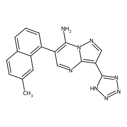 Cc1ccc2cccc(-c3cnc4c(-c5nnn[nH]5)cnn4c3N)c2c1